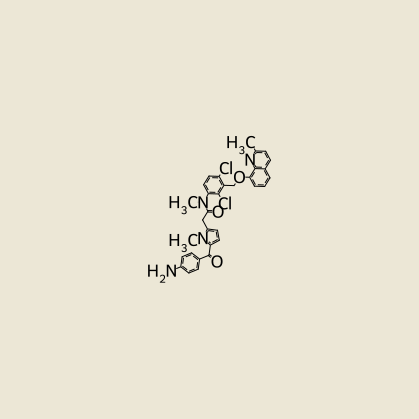 Cc1ccc2cccc(OCc3c(Cl)ccc(N(C)C(=O)Cc4ccc(C(=O)c5ccc(N)cc5)n4C)c3Cl)c2n1